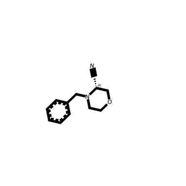 N#C[C@@H]1COCCN1Cc1ccccc1